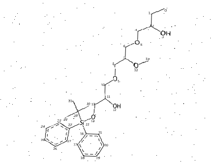 CCC(O)COCC(COCC(O)CO[Si](c1ccccc1)(c1ccccc1)C(C)(C)C)OC